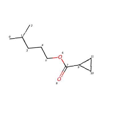 CC(C)CCCOC(=O)C1CC1